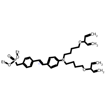 C=CC(C=C)OCCCCN(CCCCOC(C=C)C=C)c1ccc(/C=C/c2ccc(CP(=O)(OCC)OCC)cc2)cc1